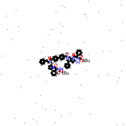 CC(C)(C)OC(=O)N[C@H](C(=O)N1CCC[C@H]1CN(CCc1ccccc1)C(=O)c1ccc(-c2ccc(C(=O)N(CCc3ccccc3)C[C@@H]3CCCN3C(=O)[C@@H](NC(=O)OC(C)(C)C)C3CCCCC3)cc2)cc1)C1CCCCC1